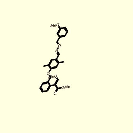 CO/C=C(/C(=O)OC)c1ccccc1COc1cc(C)c(/C=N/OCc2cccc(OC)c2)cc1C